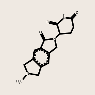 CN1Cc2cc3c(cc2C1)C(=O)N(C1CCC(=O)NC1=O)C3